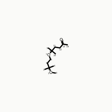 COC(C)(C)CCOC(C)(C)CCC(C)=O